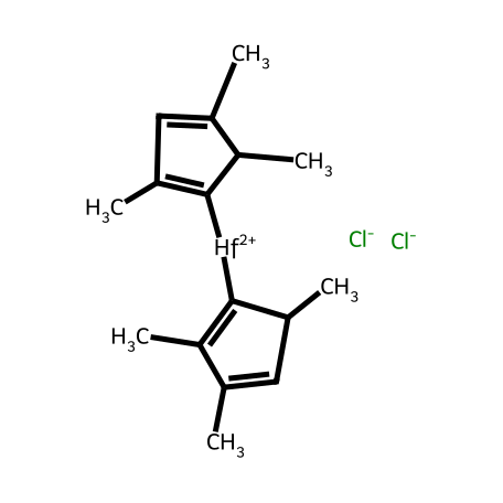 CC1=CC(C)[C]([Hf+2][C]2=C(C)C=C(C)C2C)=C1C.[Cl-].[Cl-]